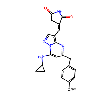 COc1ccc(Cc2cc(NC3CC3)n3ncc(/C=C4\CC(=O)NC4=O)c3n2)cc1